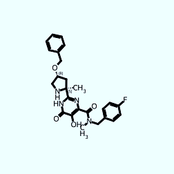 CN(Cc1ccc(F)cc1)C(=O)c1nc([C@]2(C)C[C@@H](OCc3ccccc3)CN2)[nH]c(=O)c1O